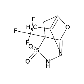 Cc1c2oc3c1NS(=O)(=O)C3(C(F)(F)F)C2